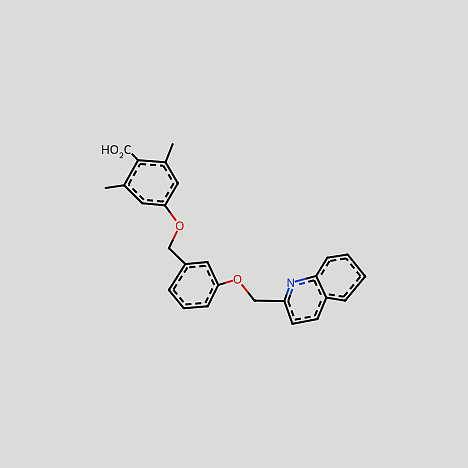 Cc1cc(OCc2cccc(OCc3ccc4ccccc4n3)c2)cc(C)c1C(=O)O